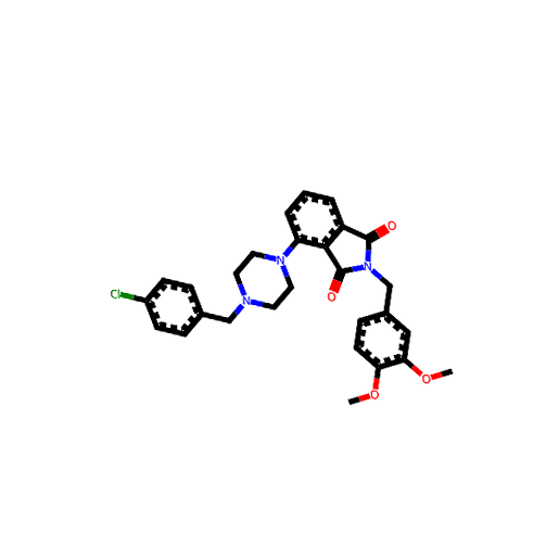 COc1ccc(CN2C(=O)c3cccc(N4CCN(Cc5ccc(Cl)cc5)CC4)c3C2=O)cc1OC